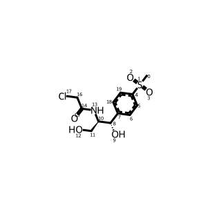 CS(=O)(=O)c1ccc([C@H](O)[C@@H](CO)NC(=O)CCl)cc1